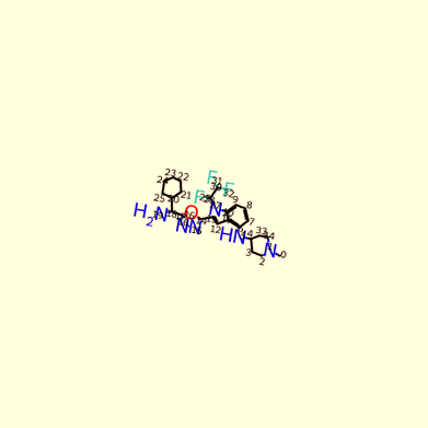 CN1CCC(Nc2cccc3c2cc(-c2nnc(C(N)C4CCCCC4)o2)n3C(F)C(F)F)CC1